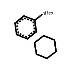 C1CCCCC1.CCCCCCc1ccccc1